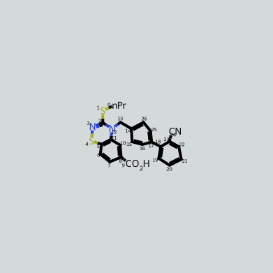 CCCSC1=NSc2ccc(C(=O)O)cc2N1Cc1ccc(-c2ccccc2C#N)cc1